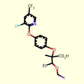 CCC(OCI)C(C)(Oc1ccc(Oc2ncc(C(F)(F)F)cc2F)cc1)C(=O)O